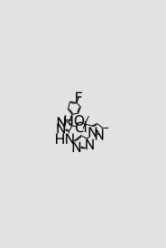 Cc1cc(C(C)(C)O)n(-c2cc(Nc3nn(C)c(-c4ccc(F)cc4)c3Cl)ncn2)n1